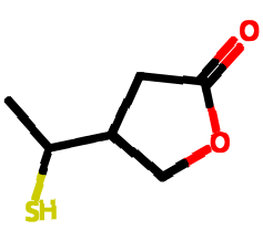 CC(S)C1COC(=O)C1